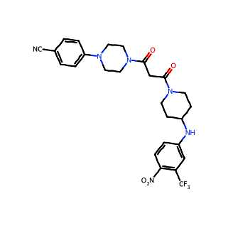 N#Cc1ccc(N2CCN(C(=O)CC(=O)N3CCC(Nc4ccc([N+](=O)[O-])c(C(F)(F)F)c4)CC3)CC2)cc1